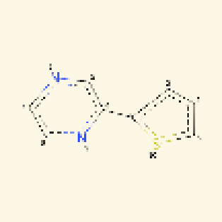 [c]1ccc(-c2cnccn2)s1